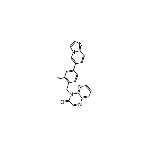 O=c1cnc2cccnc2n1Cc1ccc(-c2ccc3nccn3c2)cc1F